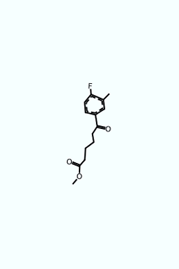 COC(=O)CCCCC(=O)c1ccc(F)c(C)c1